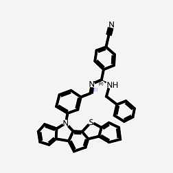 N#Cc1ccc([C@@H](/N=C/c2cccc(-n3c4ccccc4c4ccc5c6ccccc6sc5c43)c2)NCc2ccccc2)cc1